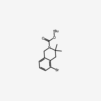 CC(C)(C)OC(=O)N1Cc2cccc(Br)c2CC1(C)C